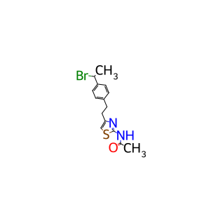 CC(=O)Nc1nc(CCc2ccc(C(C)Br)cc2)cs1